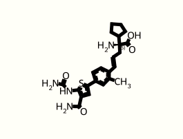 Cc1cc(-c2cc(C(N)=O)c(NC(N)=O)s2)ccc1C=CC[C@@](N)(C(=O)O)C1CCCC1